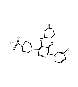 CC(C)S(=O)(=O)N1CCN(c2cnn(-c3cccc(Cl)c3)c(=O)c2OC2CCCNC2)CC1